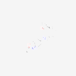 C=C(C)C(=O)CCN(CC)c1ccc(NC(C)=O)cc1